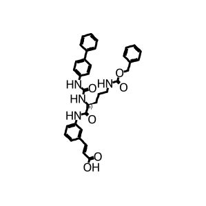 O=C(O)C=Cc1cccc(NC(=O)[C@H](CCCNC(=O)OCc2ccccc2)NC(=O)Nc2ccc(-c3ccccc3)cc2)c1